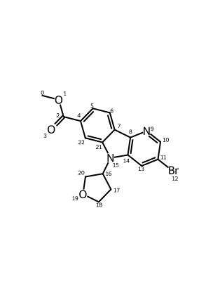 COC(=O)c1ccc2c3ncc(Br)cc3n(C3CCOC3)c2c1